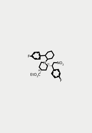 CCOC(=O)[C@@H]1CCN(C2CCCCC2c2ccc(F)cc2)[C@H](C(C[N+](=O)[O-])c2ccc(F)cc2)C1